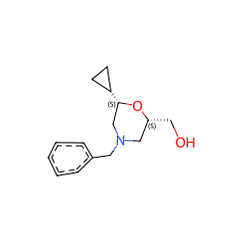 OC[C@@H]1CN(Cc2ccccc2)C[C@H](C2CC2)O1